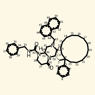 O=C1[C@H](CC2(c3ccccc3)CCCCCCCCCCCCC2)N2C(=O)CCN(C(=O)NCc3ccccc3)[C@H]2CN1Cc1cccc2ccccc12